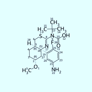 CO[C@@H]1CC[C@H]2CSC(N(C(=O)O)C(C)(C)C)=N[C@@]2(c2cc(N)ccc2F)C1